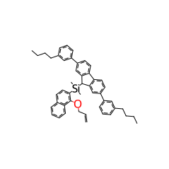 C=CCOc1c([Si](C)(C)C2c3cc(-c4cccc(CCCC)c4)ccc3-c3ccc(-c4cccc(CCCC)c4)cc32)ccc2ccccc12